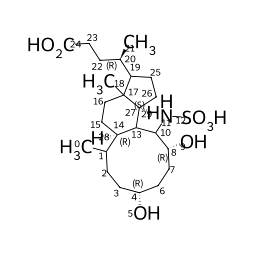 CC1CC[C@@H](O)CC[C@@H](O)C(NS(=O)(=O)O)C2[C@@H]1CCC1(C)C([C@H](C)CCC(=O)O)CC[C@@H]21